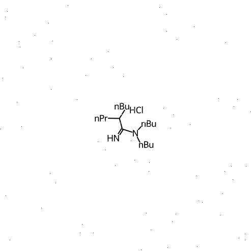 CCCCC(CCC)C(=N)N(CCCC)CCCC.Cl